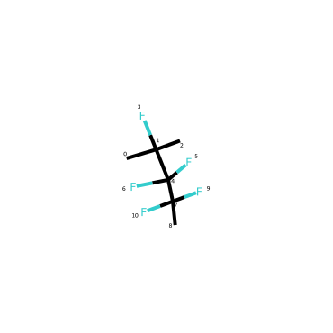 CC(C)(F)C(F)(F)C(C)(F)F